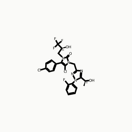 C[C@H](O)c1nc(Cn2c(Cl)c(-c3ccc(Cl)cc3)n(C[C@H](O)C(F)(F)F)c2=O)nn1-c1ccccc1F